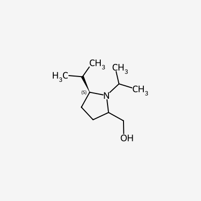 CC(C)[C@@H]1CCC(CO)N1C(C)C